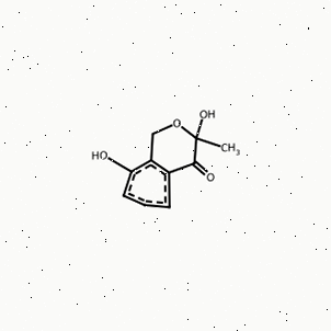 CC1(O)OCc2c(O)cccc2C1=O